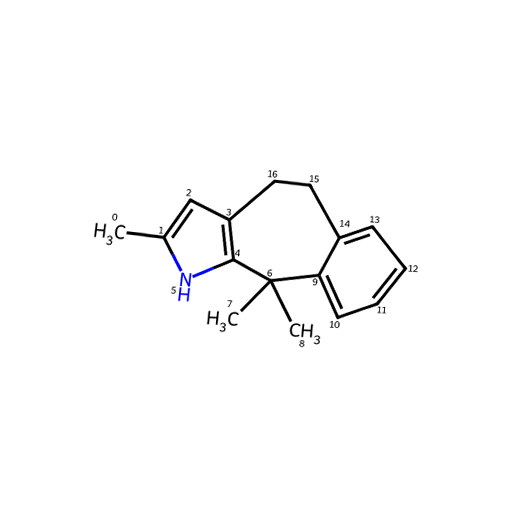 Cc1cc2c([nH]1)C(C)(C)c1ccccc1CC2